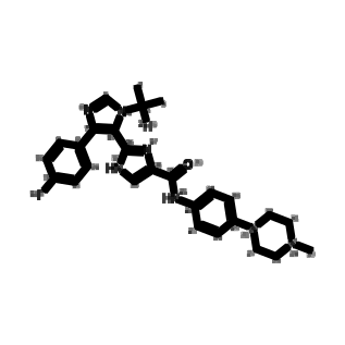 [2H]C(C)(C)n1cnc(-c2ccc(F)cc2)c1-c1nc(C(=O)Nc2ccc(N3CCN(C)CC3)cc2)c[nH]1